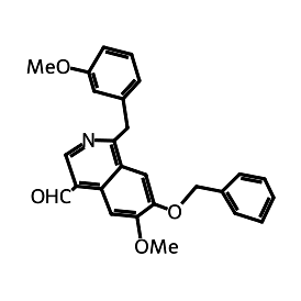 COc1cccc(Cc2ncc(C=O)c3cc(OC)c(OCc4ccccc4)cc23)c1